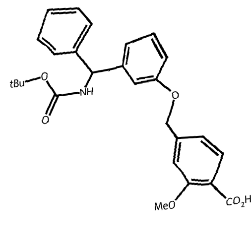 COc1cc(COc2cccc(C(NC(=O)OC(C)(C)C)c3ccccc3)c2)ccc1C(=O)O